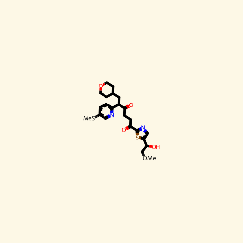 COCC(O)c1cnc(C(=O)CCC(=O)C(CC2CCOCC2)c2ccc(SC)cn2)s1